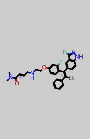 CC/C(=C(\c1ccc2[nH]nc(F)c2c1)c1ccc(OCCNC/C=C/C(=O)N(C)C)cc1F)c1ccccc1